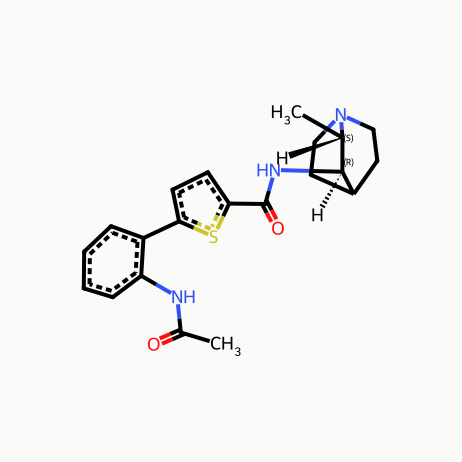 CC(=O)Nc1ccccc1-c1ccc(C(=O)N[C@@H]2C3CCN(CC3)[C@H]2C)s1